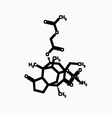 CC[C@]1(C)C[C@@H](OC(=O)COC(C)=O)C2(C)C(C)C(OS(N)(=O)=O)C[C@]3(CCC(=O)C23)[C@@H](C)C1=O